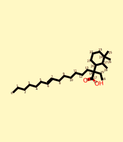 CCCCCCC=CCCCCCCC(CC)(C(=O)O)C1CCCC(C)(C)C1C